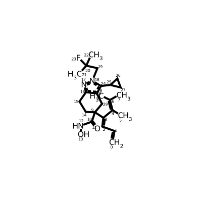 C=C/C=C(\C(C)=C(C)C)C1(C(=O)NO)CCc2nn(CC(C)(C)F)c(C3CC3)c2C1